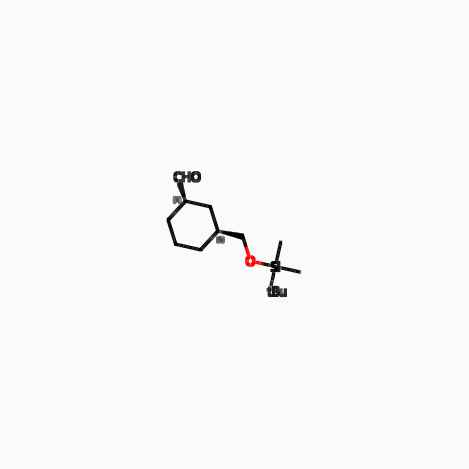 CC(C)(C)[Si](C)(C)OC[C@H]1CCC[C@@H](C=O)C1